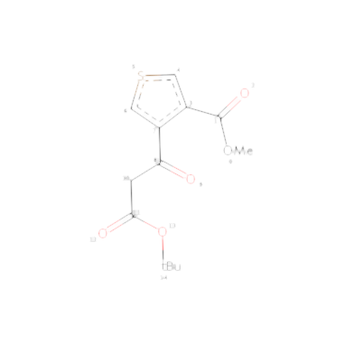 COC(=O)c1cscc1C(=O)CC(=O)OC(C)(C)C